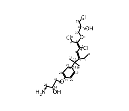 CC/C(=C\C(Cl)=C(/CCl)OC[C@@H](O)CCl)C(C)(C)c1ccc(OC[C@@H](O)CN)cc1